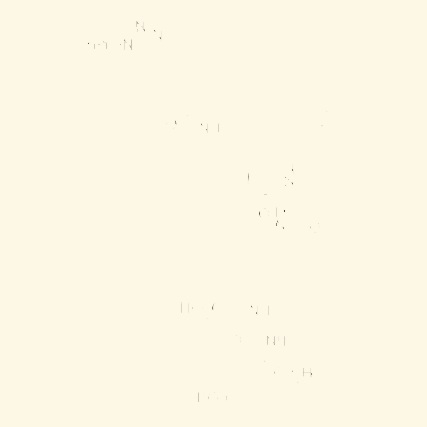 CCCn1cc(CCCC(=O)NCC2CCC(C(=O)NC(Cc3ccc4ccccc4c3)C(=O)NCCCCC(NC(=O)NC(CCC(=O)O)C(=O)O)C(=O)O)CC2)nn1